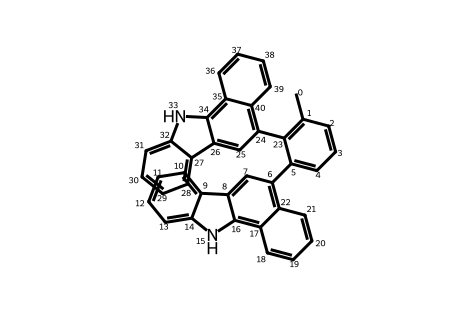 Cc1cccc(-c2cc3c4ccccc4[nH]c3c3ccccc23)c1-c1cc2c3ccccc3[nH]c2c2ccccc12